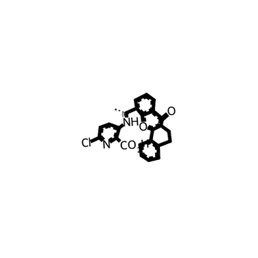 C[C@@H](Nc1ccc(Cl)nc1C(=O)O)c1cccc2c(=O)c3c(oc12)-c1ccccc1CC3